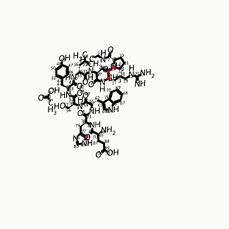 CC(=O)O.CCNC(=O)[C@@H]1CCCN1C(=O)[C@H](CCCNC(=N)N)NC(=O)[C@H](CC(C)C)NC(=O)[C@@H](CC(C)C)NC(=O)[C@H](Cc1ccc(O)cc1)NC(=O)[C@H](CO)NC(=O)[C@H](Cc1c[nH]c2ccccc12)NC(=O)[C@H](Cc1c[nH]cn1)NC(=O)[C@@H](N)CCC(=O)O